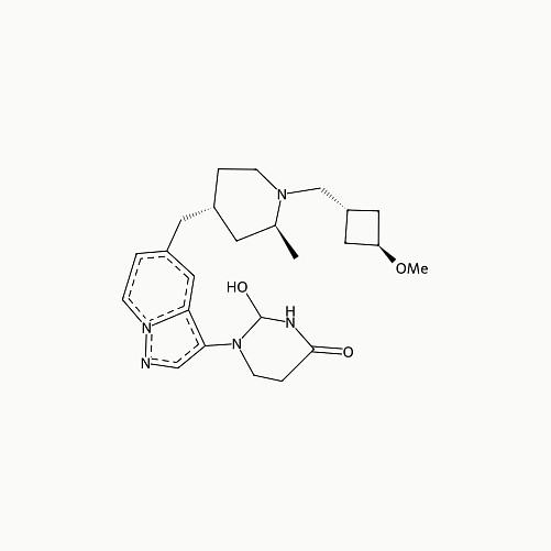 CO[C@H]1C[C@H](CN2CC[C@@H](Cc3ccn4ncc(N5CCC(=O)NC5O)c4c3)C[C@@H]2C)C1